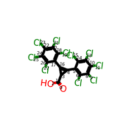 O=C(O)C1C(c2c(Cl)c(Cl)c(Cl)c(Cl)c2Cl)=C1c1c(Cl)c(Cl)c(Cl)c(Cl)c1Cl